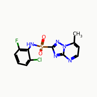 Cc1ccnc2nc(S(=O)(=O)Nc3c(F)cccc3Cl)nn12